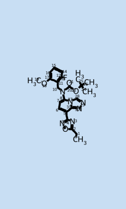 CCc1nc(-c2ccc(N(Cc3c(F)cccc3OC)C(=O)OC(C)(C)C)n3cnnc23)no1